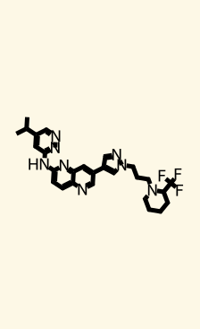 CC(C)c1cnnc(Nc2ccc3ncc(-c4cnn(CCCN5CCCCC5C(F)(F)F)c4)cc3n2)c1